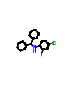 Clc1ccc(NC(c2ccccc2)c2ccccc2)c(I)c1